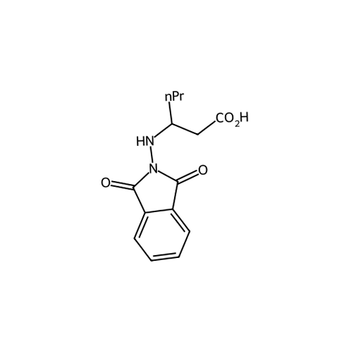 CCCC(CC(=O)O)NN1C(=O)c2ccccc2C1=O